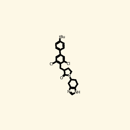 CC(C)(C)c1ccc(-c2cc(Cl)c(CC3CCN(C4CCc5[nH]cnc5C4)C3=O)c(Cl)c2)cc1